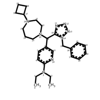 CCN(CC)c1ccc(C(c2nnnn2Cc2ccccc2)N2CCCN(C3CCC3)CC2)cn1